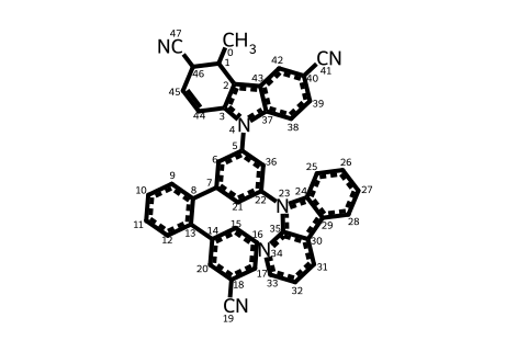 CC1c2c(n(-c3cc(-c4ccccc4-c4cccc(C#N)c4)cc(-n4c5ccccc5c5cccnc54)c3)c3ccc(C#N)cc23)C=CC1C#N